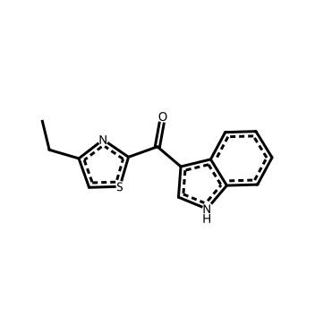 CCc1csc(C(=O)c2c[nH]c3ccccc23)n1